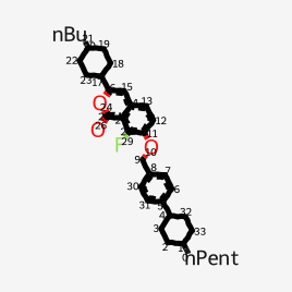 CCCCCC1CCC(c2ccc(COc3ccc4cc(C5CCC(CCCC)CC5)oc(=O)c4c3F)cc2)CC1